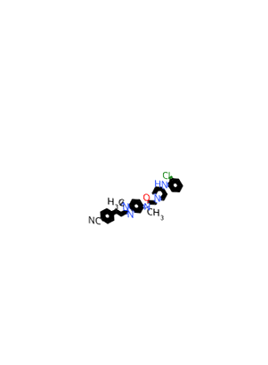 CN(C(=O)CN1CCC(Nc2ccccc2Cl)CC1)c1ccc2c(c1)nc(CCc1ccc(C#N)cc1)n2C